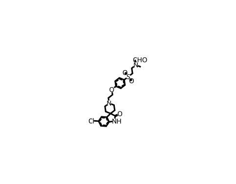 CN(C=O)CCS(=O)(=O)c1ccc(OCCN2CCC3(CC2)C(=O)Nc2ccc(Cl)cc23)cc1